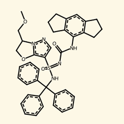 COCC1COc2c(S(=O)(=NC(=O)Nc3c4c(cc5c3CCC5)CCC4)NC(c3ccccc3)(c3ccccc3)c3ccccc3)cnn21